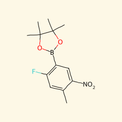 Cc1cc(F)c(B2OC(C)(C)C(C)(C)O2)cc1[N+](=O)[O-]